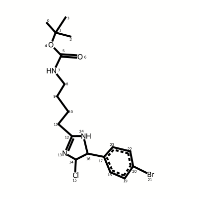 CC(C)(C)OC(=O)NCCCCC1=NC(Cl)C(c2ccc(Br)cc2)N1